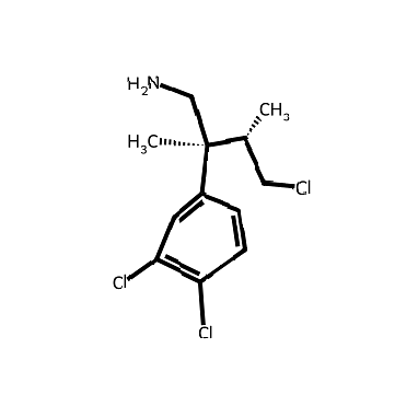 C[C@H](CCl)[C@](C)(CN)c1ccc(Cl)c(Cl)c1